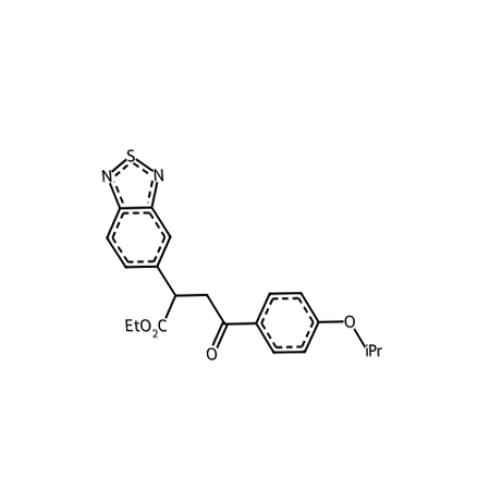 CCOC(=O)C(CC(=O)c1ccc(OC(C)C)cc1)c1ccc2nsnc2c1